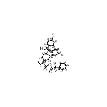 CCC(C(=O)OC(=O)C(C)(C)c1ccccc1)N1CCC(C(O)(c2ccc(C)cc2)c2ccc(C)cc2)CC1